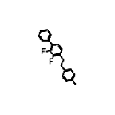 Cc1ccc(CCc2ccc(-c3ccccc3)c(F)c2F)cc1